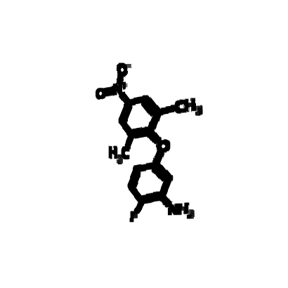 Cc1cc([N+](=O)[O-])cc(C)c1Oc1ccc(F)c(N)c1